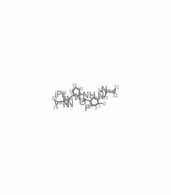 Cc1cc(F)c(C(=O)Nc2cccc(-c3nnc(C4CC4)n3C(C)C)n2)cc1-n1cnc(C2CC2)c1